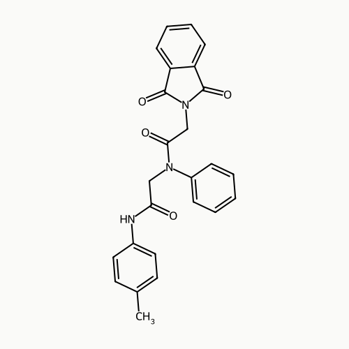 Cc1ccc(NC(=O)CN(C(=O)CN2C(=O)c3ccccc3C2=O)c2ccccc2)cc1